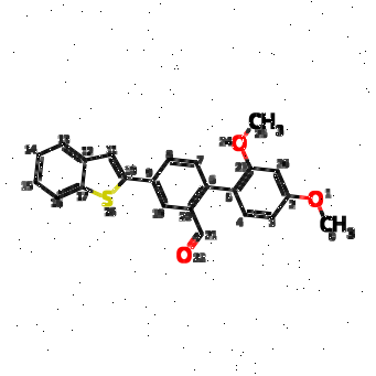 COc1ccc(-c2ccc(-c3cc4ccccc4s3)cc2C=O)c(OC)c1